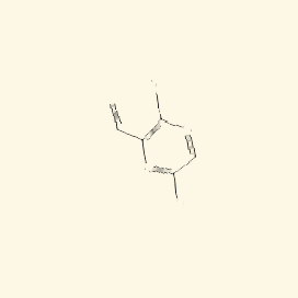 Nc1ncc(Cl)nc1C=O